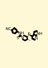 C[C@@H]1CCN(C(=S)Nc2ccc(C#N)cc2)C[C@@H]1N(C)c1ccnc2[nH]ccc12